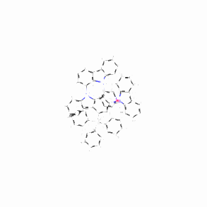 c1ccc(-n2c3ccccc3c3cccc(-n4c5ccccc5c5c([Si](c6ccccc6)(c6ccccc6)c6ccccc6)cc(-n6c7ccccc7c7ccccc76)cc54)c32)cc1